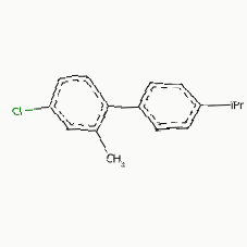 Cc1cc(Cl)ccc1-c1ccc(C(C)C)cc1